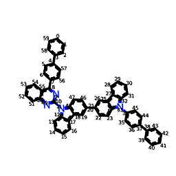 c1ccc(-c2ccc(-c3nc(-n4c5ccccc5c5cc(-c6ccc7c(c6)c6ccccc6n7-c6ccc(-c7ccccc7)cc6)ccc54)nc4ccccc34)cc2)cc1